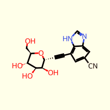 N#Cc1cc(C#C[C@H]2O[C@H](CO)[C@@H](O)[C@H](O)[C@@H]2O)c2[nH]cnc2c1